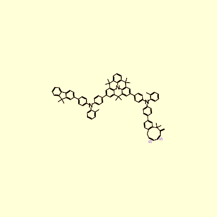 C=C1/C=C\C=C/Cc2ccc(-c3ccc(N(c4ccc(-c5cc6c7c(c5)C(C)(C)c5cc(-c8ccc(N(c9ccc(-c%10ccc%11c(c%10)C(C)(C)c%10ccccc%10-%11)cc9)c9ccccc9C)cc8)cc8c5N7c5c(cccc5C8(C)C)C6(C)C)cc4)c4ccccc4C)cc3)cc2C1(C)C